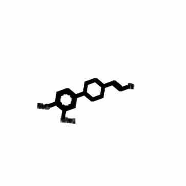 CCC=CC1CCC(c2ccc(OC)c(CCCCC)c2)CC1